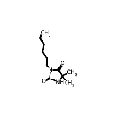 CCCCCCN1C(=O)NC(C)(C)C1=O